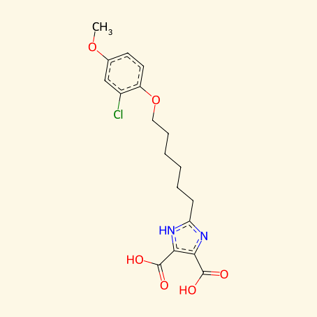 COc1ccc(OCCCCCCc2nc(C(=O)O)c(C(=O)O)[nH]2)c(Cl)c1